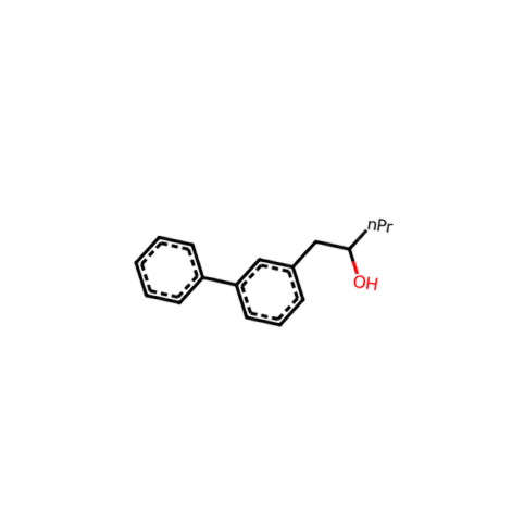 CCCC(O)Cc1cccc(-c2ccccc2)c1